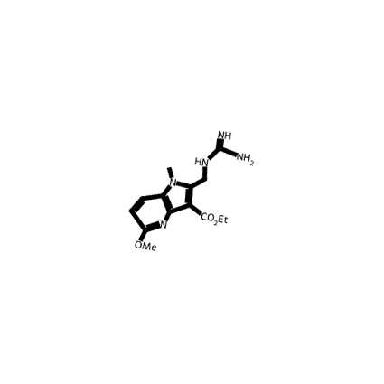 CCOC(=O)c1c(CNC(=N)N)n(C)c2ccc(OC)nc12